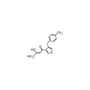 Cc1ccc(Cc2cscc2C(=O)C=C(O)C(=O)O)cc1